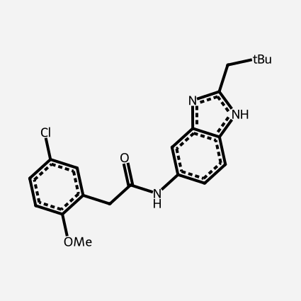 COc1ccc(Cl)cc1CC(=O)Nc1ccc2[nH]c(CC(C)(C)C)nc2c1